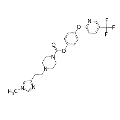 Cn1cnc(CCN2CCN(C(=O)Oc3ccc(Oc4ccc(C(F)(F)F)cn4)cc3)CC2)c1